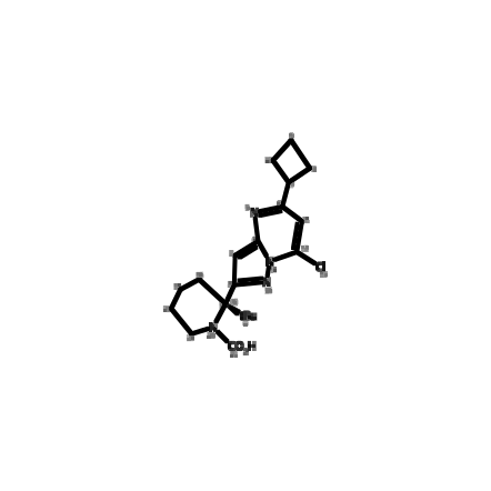 CC(C)(C)[C@]1(c2cc3nc(C4CCC4)cc(Cl)n3n2)CCCCN1C(=O)O